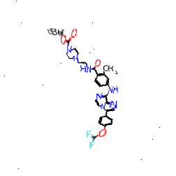 Cc1cc(Nc2nccn3c(-c4ccc(OC(F)F)cc4)cnc23)ccc1C(=O)NCCN1CCN(C(=O)OC(C)(C)C)CC1